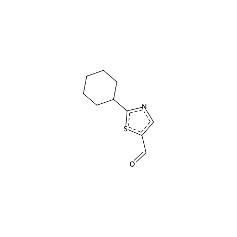 O=Cc1cnc(C2CCCCC2)s1